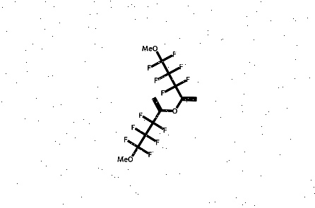 C=C(OC(=C)C(F)(F)C(F)(F)C(F)(F)OC)C(F)(F)C(F)(F)C(F)(F)OC